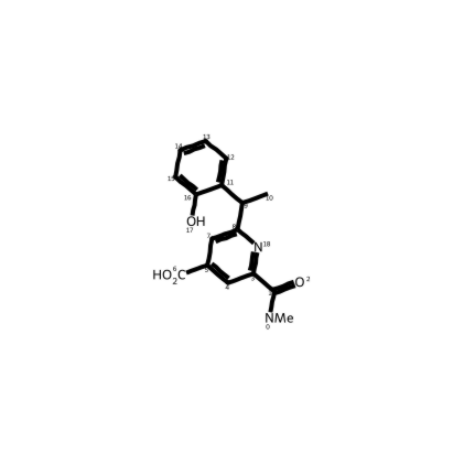 CNC(=O)c1cc(C(=O)O)cc(C(C)c2ccccc2O)n1